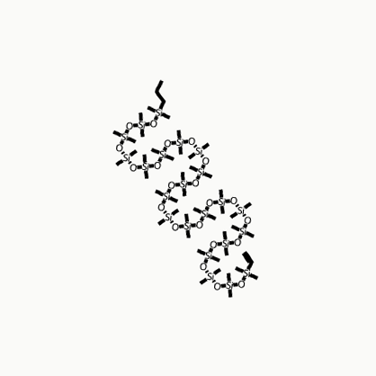 C=C[Si](C)(C)O[Si](C)(C)O[Si](C)(C)O[Si](C)(C)O[Si](C)(C)O[Si](C)(C)O[Si](C)(C)O[Si](C)(C)O[Si](C)(C)O[Si](C)(C)O[Si](C)(C)O[Si](C)(C)O[Si](C)(C)O[Si](C)(C)O[Si](C)(C)O[Si](C)(C)O[Si](C)(C)O[Si](C)(C)O[Si](C)(C)O[Si](C)(C)O[Si](C)(C)O[Si](C)(C)CCC